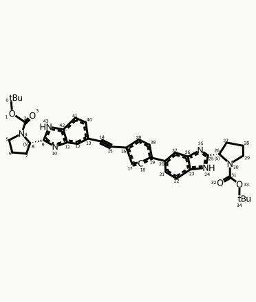 CC(C)(C)OC(=O)N1CCC[C@H]1c1nc2cc(C#Cc3ccc(-c4ccc5[nH]c([C@@H]6CCCN6C(=O)OC(C)(C)C)nc5c4)cc3)ccc2[nH]1